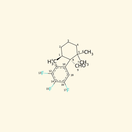 C[C@H]1CCCC(C)(C)[C@@]1(C=O)c1cc(F)c(F)c(F)c1